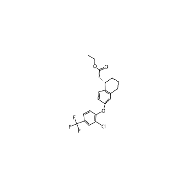 CCOC(=O)C[C@@H]1CCCc2cc(Oc3ccc(C(F)(F)F)cc3Cl)ccc21